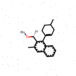 CC(=O)[C@@H](OC(C)(C)C)c1c(C)cc2ccccc2c1C1=CCC(C)CC1